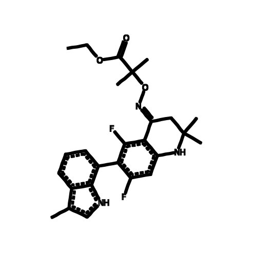 CCOC(=O)C(C)(C)O/N=C1\CC(C)(C)Nc2cc(F)c(-c3cccc4c(C)c[nH]c34)c(F)c21